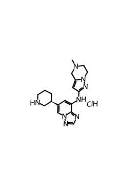 CN1CCn2nc(Nc3cc([C@@H]4CCCNC4)cn4ncnc34)cc2C1.Cl